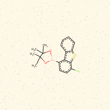 CC1(C)OB(c2ccc(F)c3sc4ccccc4c23)OC1(C)C